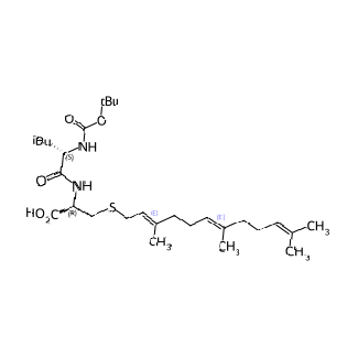 CCC(C)[C@H](NC(=O)OC(C)(C)C)C(=O)N[C@@H](CSC/C=C(\C)CC/C=C(\C)CCC=C(C)C)C(=O)O